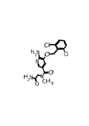 CN(CC(N)=O)C(=O)c1cnc(N)c(OCc2c(Cl)cccc2Cl)c1